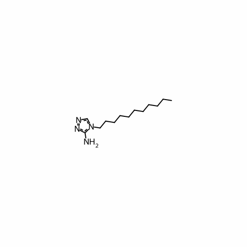 CCCCCCCCCCCn1cnnc1N